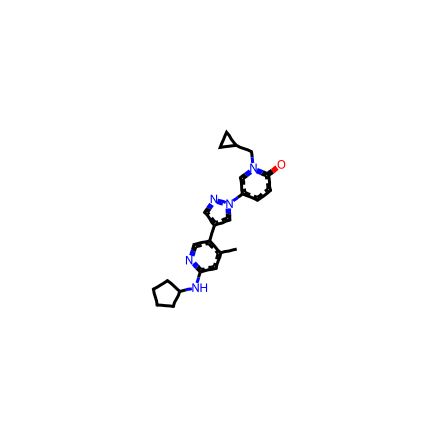 Cc1cc(NC2CCCC2)ncc1-c1cnn(-c2ccc(=O)n(CC3CC3)c2)c1